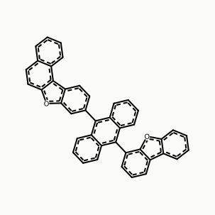 c1ccc2c(c1)ccc1oc3cc(-c4c5ccccc5c(-c5cccc6c5oc5ccccc56)c5ccccc45)ccc3c12